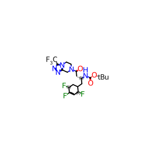 CC(C)(C)OC(=O)N[C@@H](CC(=O)N1CCn2c(nnc2C(F)(F)F)C1)CC1C[C@H](F)C(F)=C[C@@H]1F